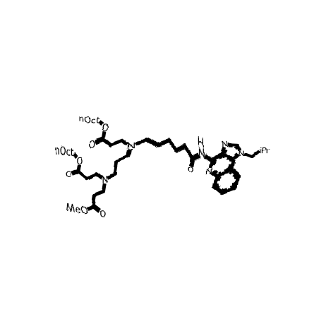 CCCCCCCCOC(=O)CCN(CCCCCC(=O)Nc1nc2ccccc2c2c1ncn2CC(C)C)CCCN(CCC(=O)OC)CCC(=O)OCCCCCCCC